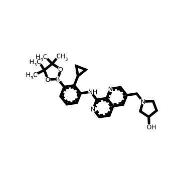 CC1(C)OB(c2cccc(Nc3nccc4cc(CN5CCC(O)C5)cnc34)c2C2CC2)OC1(C)C